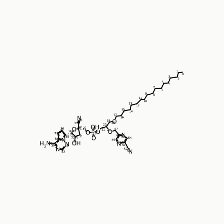 CCCCCCCCCCCCCCCCCCOCC(COP(=O)(O)OC[C@]1(C#N)C[C@@H](O)[C@H](c2ccc3c(N)ncnn23)O1)OCc1cnc(C#N)cn1